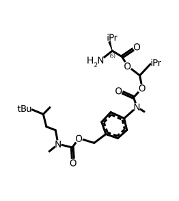 CC(C)C(OC(=O)[C@@H](N)C(C)C)OC(=O)N(C)c1ccc(COC(=O)N(C)CCC(C)C(C)(C)C)cc1